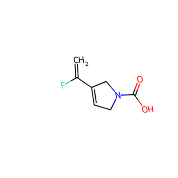 C=C(F)C1=CCN(C(=O)O)C1